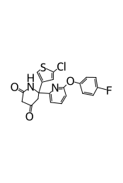 O=C1CC(=O)NC(c2csc(Cl)c2)(c2cccc(Oc3ccc(F)cc3)n2)C1